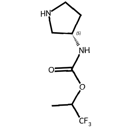 CC(OC(=O)N[C@H]1CCNC1)C(F)(F)F